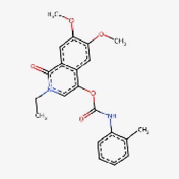 CCn1cc(OC(=O)Nc2ccccc2C)c2cc(OC)c(OC)cc2c1=O